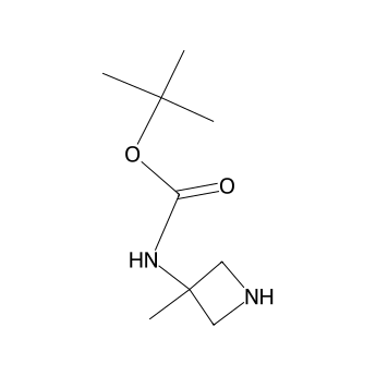 CC1(NC(=O)OC(C)(C)C)CNC1